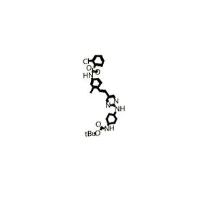 Cc1cc(NS(=O)(=O)c2ccccc2Cl)ccc1/C=C/c1cnc(NC2CCC(NC(=O)OC(C)(C)C)CC2)nc1